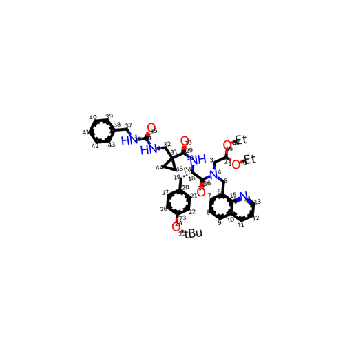 CCOC(CN(Cc1cccc2cccnc12)C(=O)[C@H](Cc1ccc(OC(C)(C)C)cc1)NC(=O)C1(CNC(=O)NCc2ccccc2)CC1)OCC